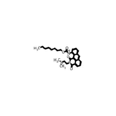 CCCCCCCCOC(=O)Nc1cccc2cc3cccc4c3c(c12)C(=O)N(CCN(C)C)C4=O